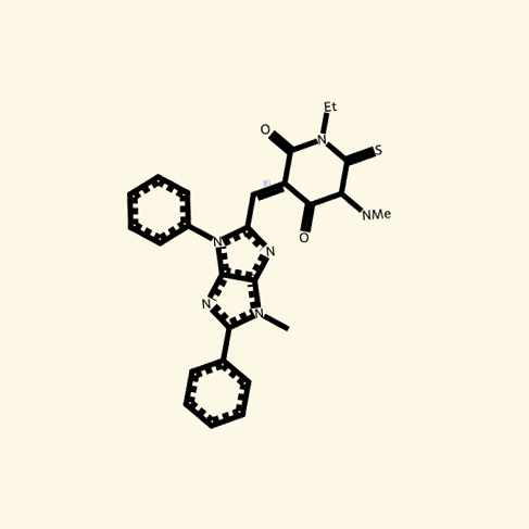 CCN1C(=O)/C(=C/c2nc3c(nc(-c4ccccc4)n3C)n2-c2ccccc2)C(=O)C(NC)C1=S